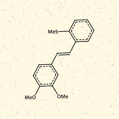 COc1ccc(C=Cc2ccccc2SC)cc1OC